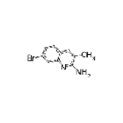 Cc1cc2ccc(Br)cc2nc1N